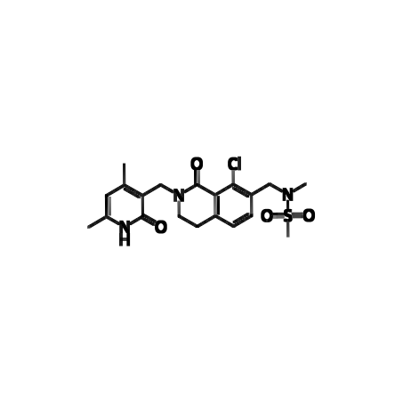 Cc1cc(C)c(CN2CCc3ccc(CN(C)S(C)(=O)=O)c(Cl)c3C2=O)c(=O)[nH]1